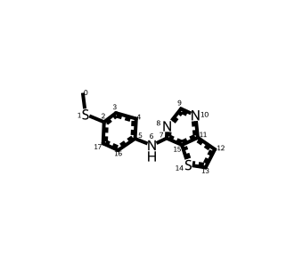 CSc1ccc(Nc2ncnc3ccsc23)cc1